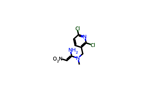 CN(Cc1ccc(Cl)nc1Cl)C(N)=C[N+](=O)[O-]